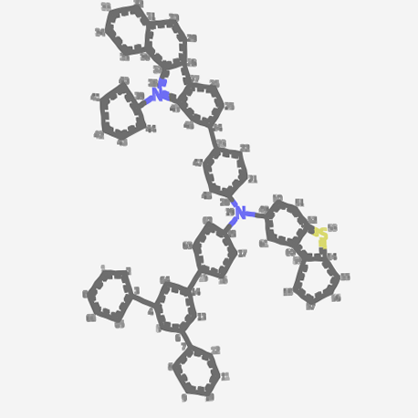 c1ccc(-c2cc(-c3ccccc3)cc(-c3ccc(N(c4ccc(-c5ccc6c7ccc8ccccc8c7n(-c7ccccc7)c6c5)cc4)c4ccc5sc6ccccc6c5c4)cc3)c2)cc1